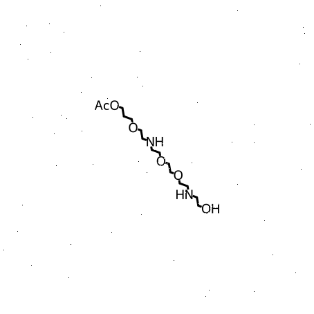 CC(=O)OCCCOCCNCCOCCOCCNCCO